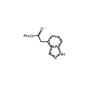 COC(=O)Cc1cccc2[nH]ncc12